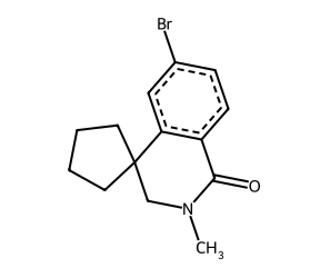 CN1CC2(CCCC2)c2cc(Br)ccc2C1=O